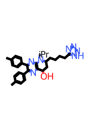 Cc1ccc(-c2nc3c(nc2-c2ccc(C)cc2)N(C(C)C)C(CCCCc2nnn[nH]2)CC3O)cc1